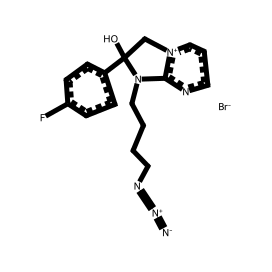 [Br-].[N-]=[N+]=NCCCCN1c2nccc[n+]2CC1(O)c1ccc(F)cc1